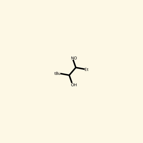 CCC(N=O)C(O)C(C)(C)C